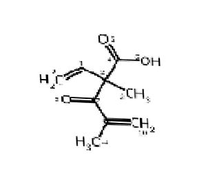 C=CC(C)(C(=O)O)C(=O)C(=C)C